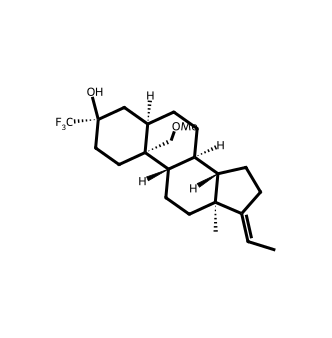 CC=C1CC[C@H]2[C@@H]3CC[C@@H]4C[C@@](O)(C(F)(F)F)CC[C@]4(COC)[C@H]3CC[C@]12C